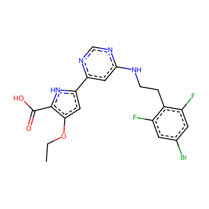 CCOc1cc(-c2cc(NCCc3c(F)cc(Br)cc3F)ncn2)[nH]c1C(=O)O